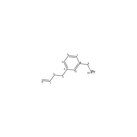 C=CCCc1cccc(CC(C)C)c1